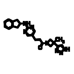 CC1(c2c[nH]nn2)CN(C(=O)/C=C/c2cnc(NC3Cc4ccccc4C3)nc2)C1